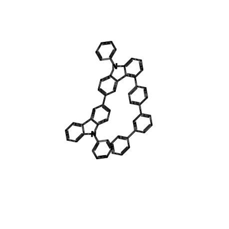 c1ccc(-c2cccc(-c3ccc(-c4cccc5c4c4cc(-c6ccc7c(c6)c6ccccc6n7-c6ccccc6)ccc4n5-c4ccccc4)cc3)c2)cc1